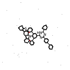 c1ccc(-c2ccc(C3=NC(c4ccccc4)NC(c4cc(-c5ccccc5)c(-n5c6ccccc6c6cc7c(cc65)sc5ccccc57)c(-c5ccccc5)c4)=N3)cc2)cc1